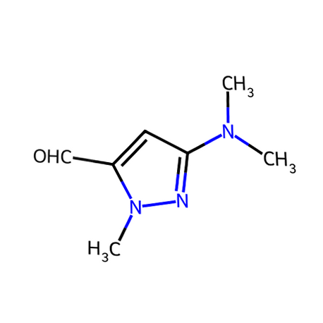 CN(C)c1cc(C=O)n(C)n1